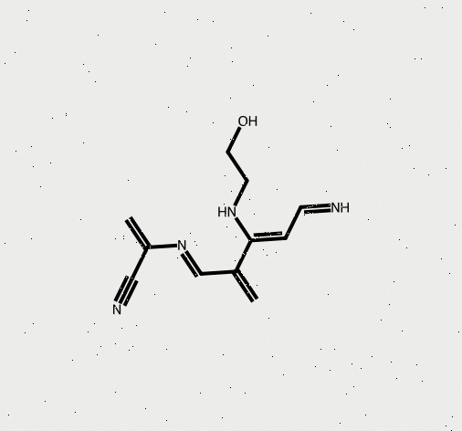 C=C(C#N)/N=C/C(=C)/C(=C/C=N)NCCO